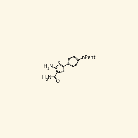 CCCCCc1ccc(-c2cc(C(N)=O)c(N)s2)cc1